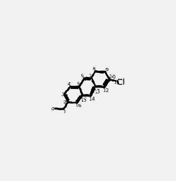 CCc1ccc2cc3ccc(Cl)cc3cc2c1